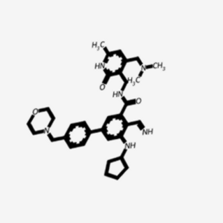 Cc1cc(CN(C)C)c(CNC(=O)c2cc(-c3ccc(CN4CCOCC4)cc3)cc(NC3CCCC3)c2C=N)c(=O)[nH]1